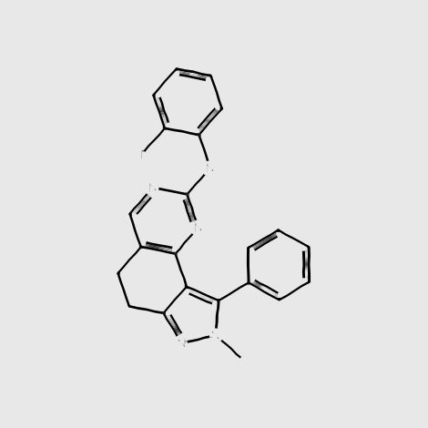 Cn1nc2c(c1-c1ccccc1)-c1nc(Nc3ccccc3Cl)ncc1CC2